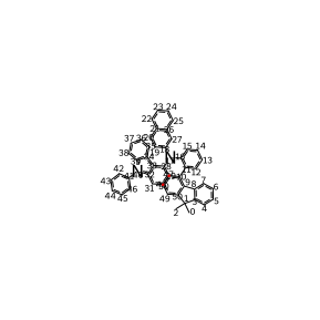 CC1(C)c2ccccc2-c2c(-c3ccccc3N(c3ccc4ccccc4c3)c3cccc4c3c3ccccc3n4-c3ccccc3)cccc21